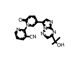 CC(C)(O)c1cnn2c(-c3ccc(=O)n(-c4ncccc4C#N)c3)cnc2n1